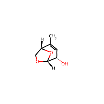 CC1=C[C@H](O)[C@@H]2OC[C@H]1O2